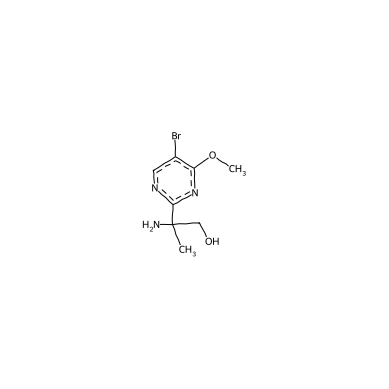 COc1nc(C(C)(N)CO)ncc1Br